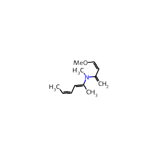 C=C(/C=C\OC)N(C)/C(C)=C/C=C\C